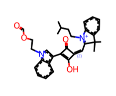 CC(C)CC[N+]1=C(/C=C2\C(=O)C(c3cn(CCOC=O)c4ccccc34)=C2O)C(C)(C)c2ccccc21